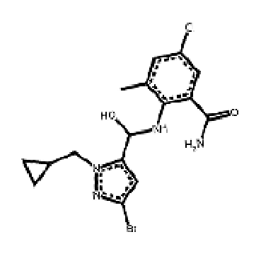 Cc1cc(Cl)cc(C(N)=O)c1NC(O)c1cc(Br)nn1CC1CC1